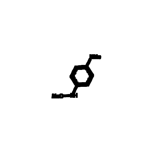 CNc1ccc(NOC)cc1